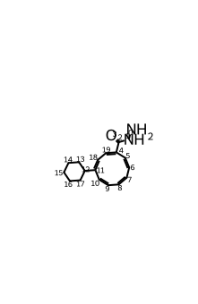 NNC(=O)c1ccccccc(C2CCCCC2)cc1